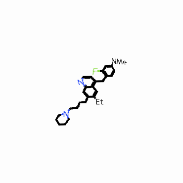 CCc1cc2c(Cc3ccc(NC)cc3F)ccnc2cc1CCCCN1CCCCC1